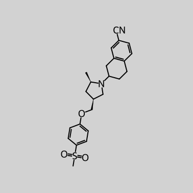 C[C@@H]1C[C@H](COc2ccc(S(C)(=O)=O)cc2)CN1C1CCc2ccc(C#N)cc2C1